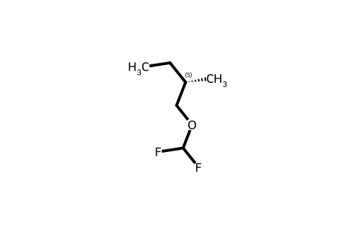 CC[C@H](C)COC(F)F